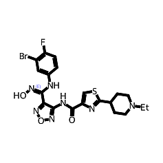 CCN1CCC(c2nc(C(=O)Nc3nonc3/C(=N\O)Nc3ccc(F)c(Br)c3)cs2)CC1